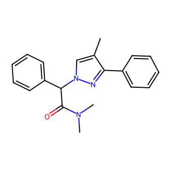 Cc1cn(C(C(=O)N(C)C)c2ccccc2)nc1-c1ccccc1